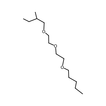 CCCCCOCCOCCOCC(C)CC